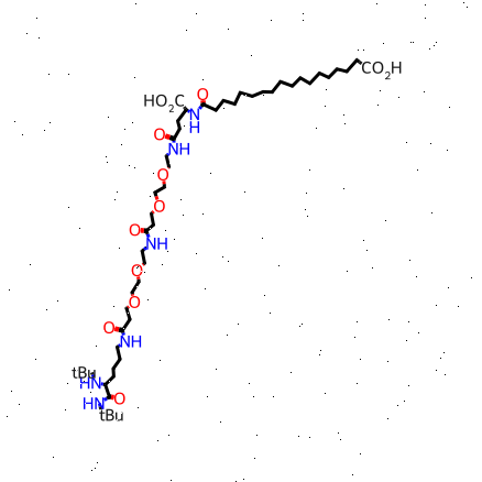 CC(C)(C)NC(=O)C(CCCCNC(=O)CCOCCOCCNC(=O)CCOCCOCCNC(=O)CCC(NC(=O)CCCCCCCCCCCCCCCCC(=O)O)C(=O)O)NC(C)(C)C